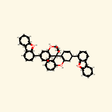 C1=CC(c2cccc3c2oc2ccccc23)CC2=C1C1(c3ccccc3O2)c2ccccc2Oc2cc(-c3cccc4c3oc3ccccc34)ccc21